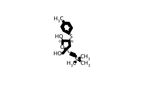 Cc1ccc(S[C@@H]2C[C@@](C#C[Si](C)(C)C)(CO)O[C@@H]2O)cc1